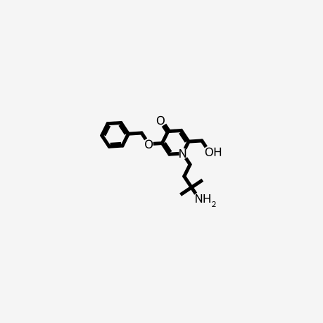 CC(C)(N)CCn1cc(OCc2ccccc2)c(=O)cc1CO